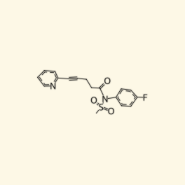 CS(=O)(=O)N(C(=O)CCC#Cc1ccccn1)c1ccc(F)cc1